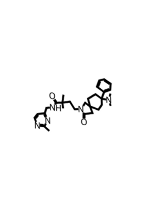 Cc1nccc(CNC(=O)C(C)(C)CCN2CC3(CCC(c4ccccc4)(N(C)C)CC3)CC2=O)n1